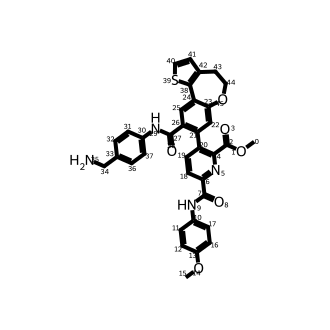 COC(=O)c1nc(C(=O)Nc2ccc(OC)cc2)ccc1-c1cc2c(cc1C(=O)Nc1ccc(CN)cc1)-c1sccc1CCO2